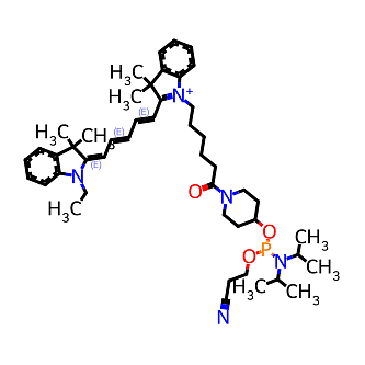 CCN1/C(=C/C=C/C=C/C2=[N+](CCCCCC(=O)N3CCC(OP(OCCC#N)N(C(C)C)C(C)C)CC3)c3ccccc3C2(C)C)C(C)(C)c2ccccc21